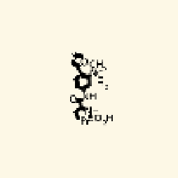 CC(C)CC(NC(=O)O)C(=O)Nc1ccc(-c2cnco2)c(N(C)C)c1